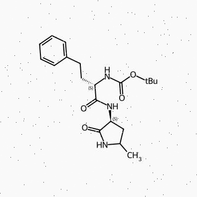 CC1C[C@H](NC(=O)[C@H](CCc2ccccc2)NC(=O)OC(C)(C)C)C(=O)N1